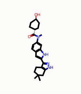 CN(c1ccc2cc(-c3n[nH]c4c3CCC(C)(C)C4)[nH]c2c1)C(=O)[C@H]1CC[C@H](O)CC1